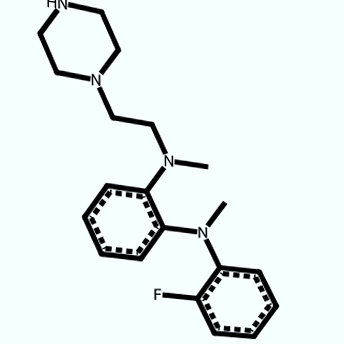 CN(CCN1CCNCC1)c1ccccc1N(C)c1ccccc1F